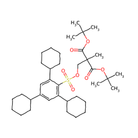 CC(C)(C)OC(=O)C(C)(COS(=O)(=O)c1c(C2CCCCC2)cc(C2CCCCC2)cc1C1CCCCC1)C(=O)OC(C)(C)C